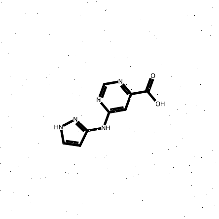 O=C(O)c1cc(Nc2cc[nH]n2)ncn1